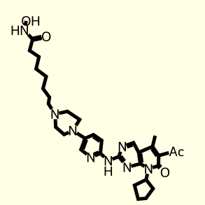 CC(=O)c1c(C)c2cnc(Nc3ccc(N4CCN(CCCCCCCC(=O)NO)CC4)cn3)nc2n(C2CCCC2)c1=O